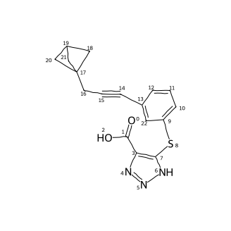 O=C(O)c1nn[nH]c1Sc1cccc(C#CCC23CC(C2)C3)c1